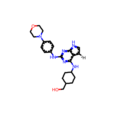 [2H]c1c[nH]c2nc(Nc3ccc(N4CCOCC4)cc3)nc(NC3CCC(CO)CC3)c12